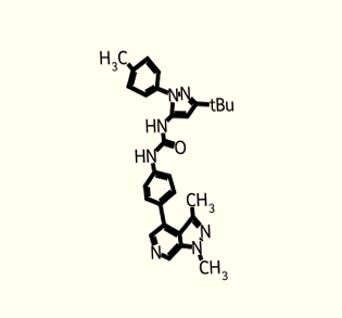 Cc1ccc(-n2nc(C(C)(C)C)cc2NC(=O)Nc2ccc(-c3cncc4c3c(C)nn4C)cc2)cc1